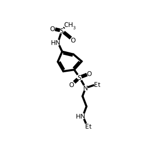 CCNCCN(CC)S(=O)(=O)c1ccc(NS(C)(=O)=O)cc1